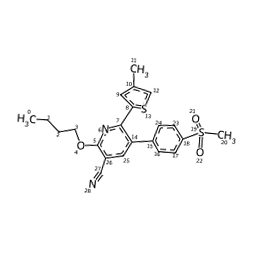 CCCCOc1nc(-c2cc(C)cs2)c(-c2ccc(S(C)(=O)=O)cc2)cc1C#N